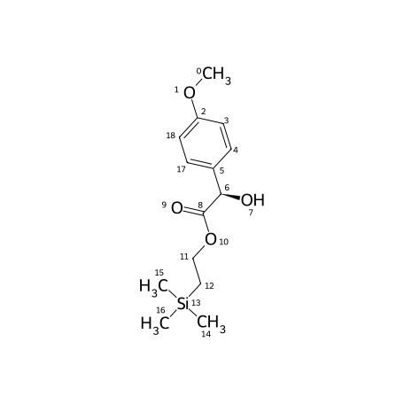 COc1ccc([C@@H](O)C(=O)OCC[Si](C)(C)C)cc1